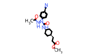 COC(=O)CC[C@H]1CC[C@H](NC(=O)N(NC(C)=O)c2ccc(C#N)cc2)CC1